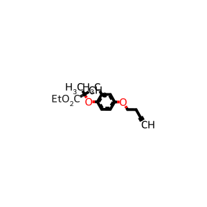 C#CCCOc1ccc(OC(C)(C)C(=O)OCC)c(C)c1